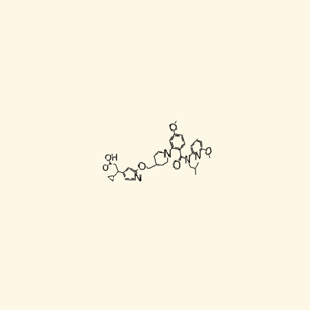 COc1ccc(C(=O)N(CC(C)C)c2cccc(OC)n2)c(N2CCC(COc3cc(C(CC(=O)O)C4CC4)ccn3)CC2)c1